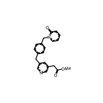 COC(=O)Cc1cncc(Cc2ccc(Cn3ccccc3=O)cc2)c1